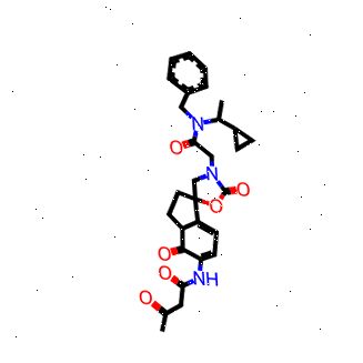 CC(=O)CC(=O)NC1=CC=C2C(CCC23CN(CC(=O)N(Cc2ccccc2)C(C)C2CC2)C(=O)O3)C1=O